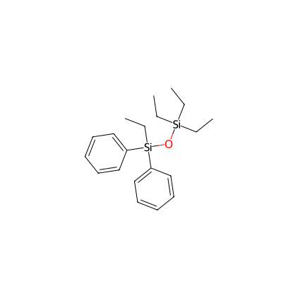 CC[Si](CC)(CC)O[Si](CC)(c1ccccc1)c1ccccc1